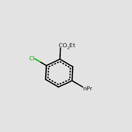 CCCc1ccc(Cl)c(C(=O)OCC)c1